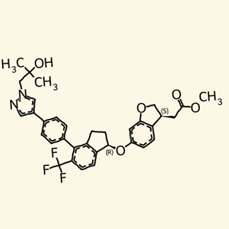 COC(=O)C[C@@H]1COc2cc(O[C@@H]3CCc4c3ccc(C(F)(F)F)c4-c3ccc(-c4cnn(CC(C)(C)O)c4)cc3)ccc21